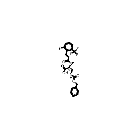 CN(C(=O)CCc1c(F)cccc1C(F)(F)F)[C@@H](CNC(=O)OCc1ccccc1)C(=O)O